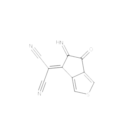 N#CC(C#N)=C1C(=N)C(=O)c2cscc21